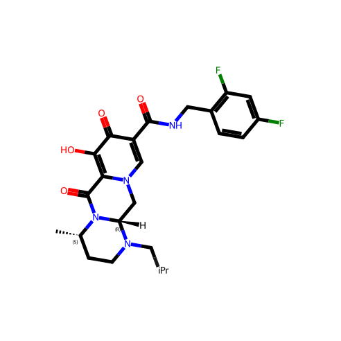 CC(C)CN1CC[C@H](C)N2C(=O)c3c(O)c(=O)c(C(=O)NCc4ccc(F)cc4F)cn3C[C@H]12